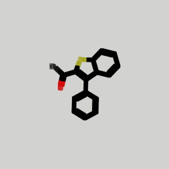 CCC(=O)C1=C(c2ccccc2)C2C=CC=CC2S1